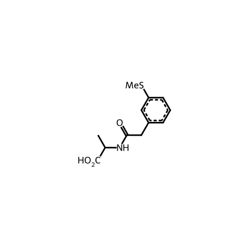 CSc1cccc(CC(=O)NC(C)C(=O)O)c1